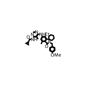 CCc1c(Nc2ncnc(NC(=O)C3CC3)c2C)cc(C)c2c1C1(CCCCC1)N(Cc1ccc(OC)cc1)C2=O